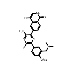 COc1ccc(-c2nc(-c3ccc4c(=O)[nH]cc(F)c4c3)c(N)nc2F)cc1CN(C)C